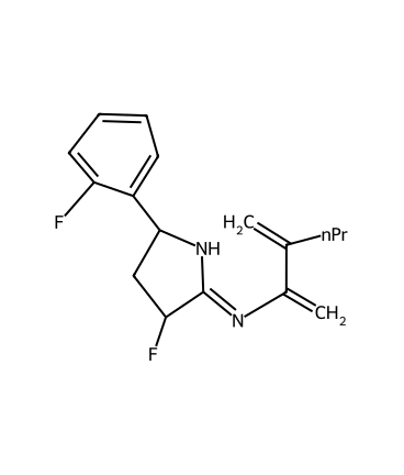 C=C(CCC)C(=C)/N=C1\NC(c2ccccc2F)CC1F